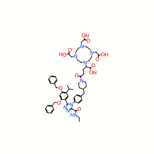 CCNC(=O)c1nnc(-c2cc(C(C)C)c(OCc3ccccc3)cc2OCc2ccccc2)n1-c1ccc(CC2CCN(C(=O)CCC(C(=O)O)N3CCN(CC(=O)O)CCN(CC(=O)O)CCN(CC(=O)O)CC3)CC2)cc1